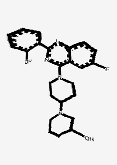 Oc1ccccc1-c1nc(N2CCC(N3CCCC(O)C3)CC2)c2cc(F)ccc2n1